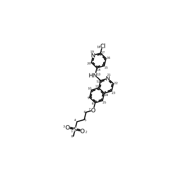 CS(=O)(=O)CCCOc1ccc2c(Nc3ccc(Cl)nc3)nccc2c1